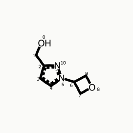 OCc1ccn(C2COC2)n1